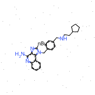 CCCCc1nc2c(N)nc3ccccc3c2n1Cc1ccc(CNCCC2CCCC2)cc1